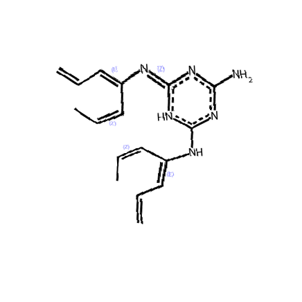 C=C/C=C(\C=C/C)/N=c1/nc(N)nc(NC(/C=C\C)=C/C=C)[nH]1